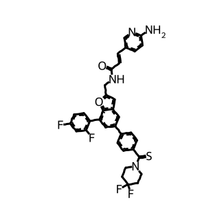 Nc1ccc(C=CC(=O)NCc2cc3cc(-c4ccc(C(=S)N5CCC(F)(F)CC5)cc4)cc(-c4ccc(F)cc4F)c3o2)cn1